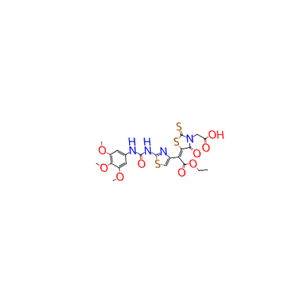 CCOC(=O)C(=C1SC(=S)N(CC(=O)O)C1=O)c1csc(NC(=O)Nc2cc(OC)c(OC)c(OC)c2)n1